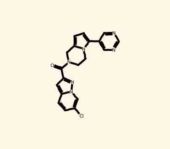 O=C(c1cc2ccc(Cl)cn2n1)N1CCn2c(ccc2-c2cncnc2)C1